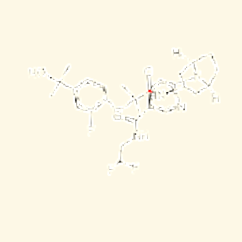 CC(C)(Oc1ccc(C(C)(C)O)cc1F)C(=O)N[C@H]1C[C@H]2CC[C@@H](C1)N2c1ccc(C(=O)NCC(F)F)cn1